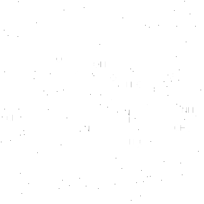 CC(C)C(C)(NC(=O)c1ncc(CCl)cc1C(=O)O)C(N)=O